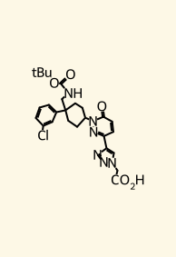 CC(C)(C)OC(=O)NCC1(c2cccc(Cl)c2)CCC(n2nc(-c3cn(CC(=O)O)nn3)ccc2=O)CC1